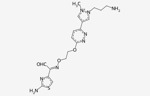 C[n+]1cc(-c2ccc(OCCO/N=C(\C=O)c3csc(N)n3)nn2)cn1CCCN